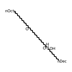 CCCCCCCCC=CCCCCCCCCCCCC(=O)CCCCCCCCCCCCCCCC(=O)NCC(O)CCCCCCCCCCCCCCCCCC